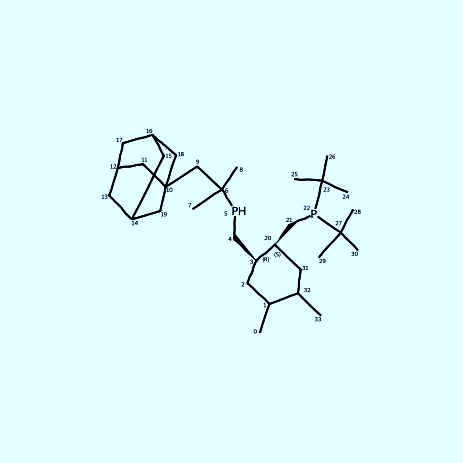 CC1C[C@@H](CPC(C)(C)CC23CC4CC(CC(C4)C2)C3)[C@@H](CP(C(C)(C)C)C(C)(C)C)CC1C